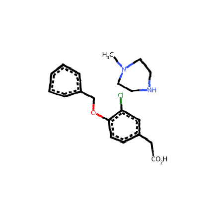 CN1CCNCC1.O=C(O)Cc1ccc(OCc2ccccc2)c(Cl)c1